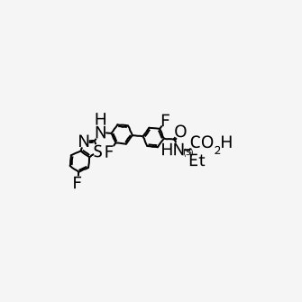 CC[C@H](NC(=O)c1ccc(-c2ccc(Nc3nc4ccc(F)cc4s3)c(F)c2)cc1F)C(=O)O